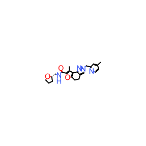 Cc1ccnc(Cn2cc3c(n2)-c2c(oc(C(=O)NC[C@@H]4CCCO4)c2C)CC3)c1